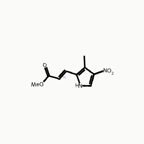 COC(=O)/C=C/c1[nH]cc([N+](=O)[O-])c1C